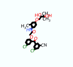 Cc1cc(OC[C@H](O)C(C)(C)O)ccc1NC(=O)COc1ccc(Cl)cc1C(=O)c1cc(Cl)cc(C#N)c1